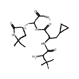 CC1(C)C[C@@H](CC(NC(=O)C(CC2CC2)NC(=O)C(N)C(C)(C)C)C(N)=O)C(=O)N1